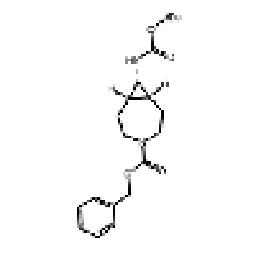 CC(C)(C)OC(=O)N[C@@H]1[C@@H]2CCN(C(=O)OCc3ccccc3)CC[C@@H]21